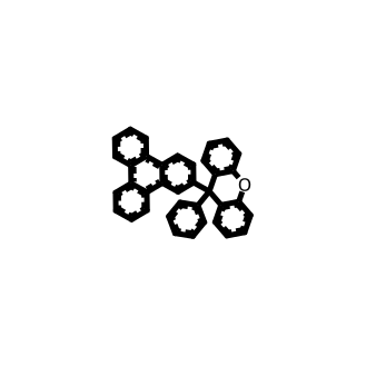 c1ccc(C2(c3ccc4c5ccccc5c5ccccc5c4c3)c3ccccc3Oc3ccccc32)cc1